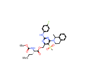 CSCC[C@H](NC(=O)OC(C)(C)C)C(=O)OCc1nc(Nc2ccc(F)cc2)nc(N2CCc3ccccc3C2C)c1S(C)(=O)=O